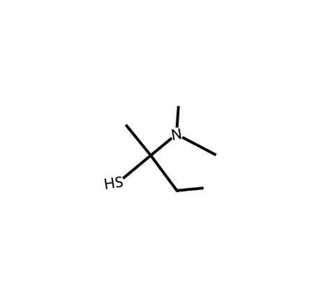 CCC(C)(S)N(C)C